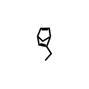 CCC1=CC2C=CC1C2